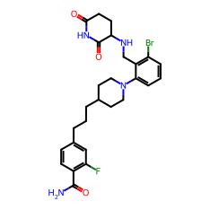 NC(=O)c1ccc(CCCC2CCN(c3cccc(Br)c3CNC3CCC(=O)NC3=O)CC2)cc1F